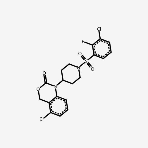 O=C1OCc2c(Cl)cccc2N1C1CCN(S(=O)(=O)c2cccc(Cl)c2F)CC1